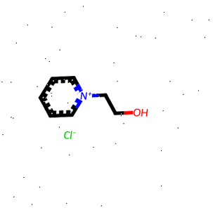 OCC[n+]1ccccc1.[Cl-]